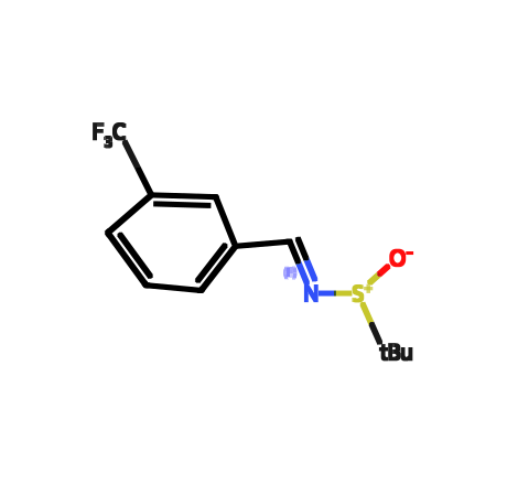 CC(C)(C)[S+]([O-])/N=C/c1cccc(C(F)(F)F)c1